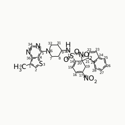 Cc1csc2c(N3CCC(NS(=O)(=O)C4=CC=C([N+](=O)[O-])CC4(C4C=Cc5ccccc54)[N+](=O)[O-])CC3)ncnc12